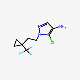 Nc1cnn(CCC2(C(F)(F)F)CC2)c1Cl